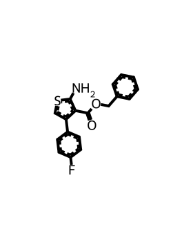 Nc1scc(-c2ccc(F)cc2)c1C(=O)OCc1ccccc1